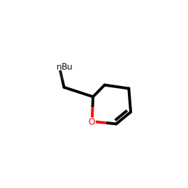 CCCCCC1CCC=CO1